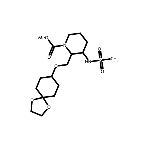 COC(=O)N1CCCC(NS(C)(=O)=O)C1COC1CCC2(CC1)OCCO2